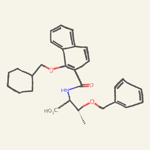 C[C@@H](OCc1ccccc1)C(NC(=O)c1ccc2ccccc2c1OCC1CCCCC1)C(=O)O